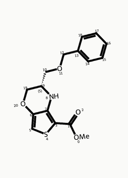 COC(=O)c1scc2c1N[C@@H](COCc1ccccc1)CO2